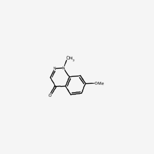 COc1ccc2c(=O)cnn(C)c2c1